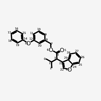 CC(C)C(C(=O)OCc1cccc(Oc2ccccc2)c1)c1coc2ccccc12